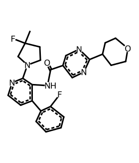 CC1(F)CCN(c2nccc(-c3ccccc3F)c2NC(=O)c2cnc(C3CCOCC3)nc2)C1